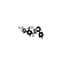 COc1cc(Nc2nc3n(n2)CCCC[C@H]3c2ccc(F)cc2)c(F)cc1-n1cnc(C)n1